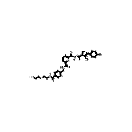 C/C(=N\NC(=O)c1cccc(C(=O)NCc2ccc(C(=O)NCCOCCO)cc2)n1)c1csc(-c2ccc(Br)cc2)c1O